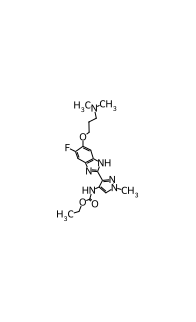 CCOC(=O)Nc1cn(C)nc1-c1nc2cc(F)c(OCCCN(C)C)cc2[nH]1